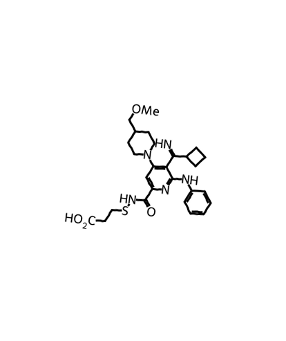 COCC1CCN(c2cc(C(=O)NSCCC(=O)O)nc(Nc3ccccc3)c2C(=N)C2CCC2)CC1